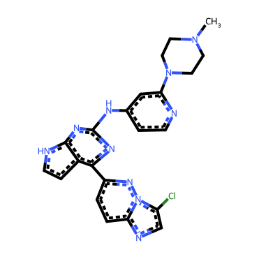 CN1CCN(c2cc(Nc3nc(-c4ccc5ncc(Cl)n5n4)c4cc[nH]c4n3)ccn2)CC1